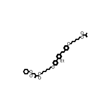 C=C(C)C(=O)OCCCCCCOc1ccc(/C=C/c2ccc(-c3ccc(OCCCCCCOC(=O)C(=C)CC(=O)OC4CCCCC4)cc3)c(CC)c2)cc1